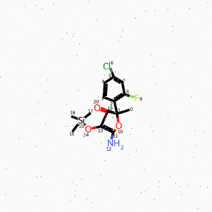 CC1(c2ccc(Cl)cc2F)OC(N)=C(O[Si](C)(C)C)C1=O